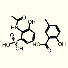 CC(=O)Nc1c(O)cccc1[As](=O)(O)O.Cc1ccc(O)c(C(=O)O)c1